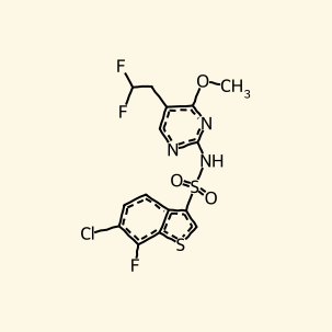 COc1nc(NS(=O)(=O)c2csc3c(F)c(Cl)ccc23)ncc1CC(F)F